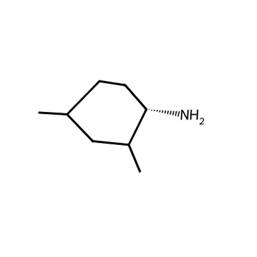 CC1CC[C@H](N)C(C)C1